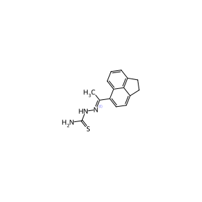 C/C(=N\NC(N)=S)c1ccc2c3c(cccc13)CC2